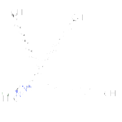 CCCCCCCCCCCCCCCCCCC(CCCCC(CCCCCCCCCCCCCC)CCCCCCCCCCCCCC)[n+]1ccn(C)c1.[Cl-]